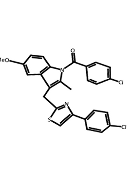 COc1ccc2c(c1)c(Cc1nc(-c3ccc(Cl)cc3)cs1)c(C)n2C(=O)c1ccc(Cl)cc1